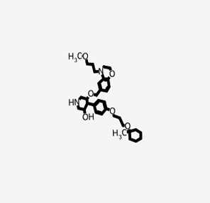 COCCCN1CCOc2ccc(COC3CNCC(O)C3c3ccc(OCCCOC4(C)CCCCC4)cc3)cc21